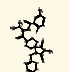 Cc1ccc(F)c(C(=O)N[C@@H](C(=O)N2CCC3(CC2)C(=O)N(C)C(=O)N3Cc2ncccn2)C(C)C)c1